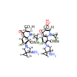 COc1c(N2CC(C)(N)C3(CC3)C2)c(F)cc2c(=O)c(C(=O)O)cn(C3CC3F)c12.COc1c(N2CC3(CC3)[C@](C)(N)C2)c(F)cc2c(=O)c(C(=O)O)cn([C@@H]3C[C@@H]3F)c12.O